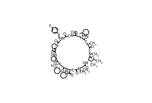 CC[C@H](C)[C@@H]1NC(=O)[C@H](C)N(C)C(=O)C[C@@H](C(=O)N2CCCCC2)N(C)C(=O)[C@H](C2CCCCC2)N(C)C(=O)C2(CCCC2)NC(=O)[C@@H]2CCCN2C(=O)[C@H](CCc2ccc(F)cc2)NC(=O)CN(C)C(=O)[C@H](CC2CCCCC2)N(C)C(=O)CN(C)C(=O)CN(C)C1=O